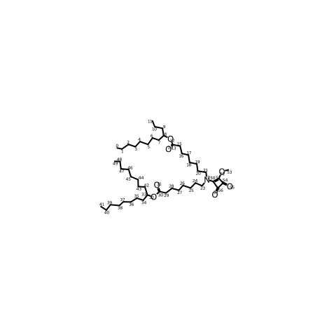 CCCCCCCCC(CCC)OC(=O)CCCCCCCN(CCCCCCCC(=O)OC(CCCCCCCC)CCCCCCCC)c1c(OC)c(=O)c1=O